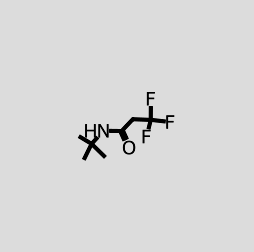 CC(C)(C)NC(=O)CC(F)(F)F